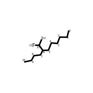 CCCCCCC(CCCC)C(F)I